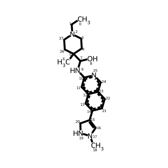 CCN1CCC(C)(C(O)Nc2cc3cc(C4=CN(C)NC4)ccc3cn2)CC1